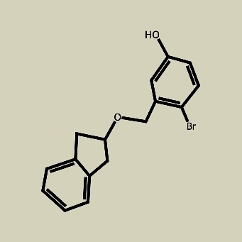 Oc1ccc(Br)c(COC2Cc3ccccc3C2)c1